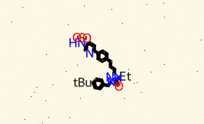 CCn1c(CCCc2ccc(-c3ccc(NS(C)(=O)=O)cn3)cc2)nn(Cc2ccc(C(C)(C)C)cc2)c1=O